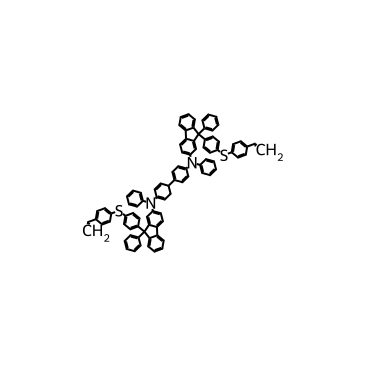 C=Cc1ccc(Sc2ccc(C3(c4ccccc4)c4ccccc4-c4ccc(N(C5=CCC(c6ccc(N(c7ccccc7)c7ccc8c(c7)C(c7ccccc7)(c7ccc(Sc9ccc(C=C)cc9)cc7)c7ccccc7-8)cc6)C=C5)c5ccccc5)cc43)cc2)cc1